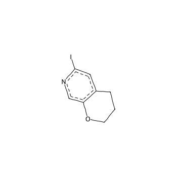 Ic1cc2c(cn1)OCCC2